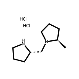 C[C@@H]1CCCN1C[C@@H]1CCCN1.Cl.Cl